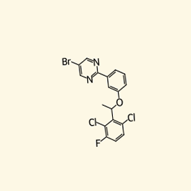 CC(Oc1cccc(-c2ncc(Br)cn2)c1)c1c(Cl)ccc(F)c1Cl